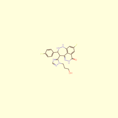 O=c1[nH]nc2c3c(cc(F)cc13)NNC(c1ccc(F)cc1)C2c1ncnn1CCCO